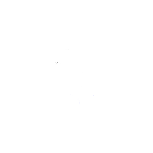 COc1cc2c(cc1OC)-c1c(cnc3[nH]ncc13)CC2